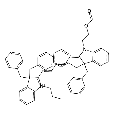 CCC[N+]1=C(/C=C/C=C/C=C2/N(CCOC=O)c3ccccc3C2(Cc2ccccc2)Cc2ccccc2)C(Cc2ccccc2)(Cc2ccccc2)c2ccccc21